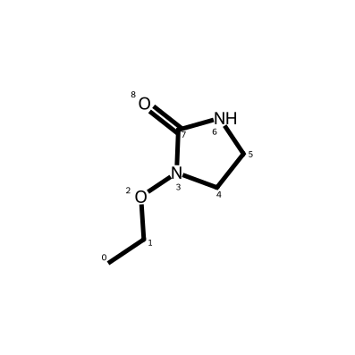 CCON1CCNC1=O